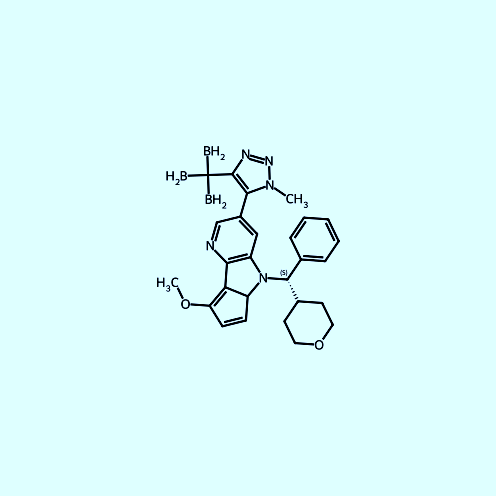 BC(B)(B)c1nnn(C)c1-c1cnc2c(c1)N([C@H](c1ccccc1)C1CCOCC1)C1C=CC(OC)=C21